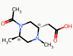 CC(=O)N1C[C@H](CC(=O)O)N(C)C[C@H]1C